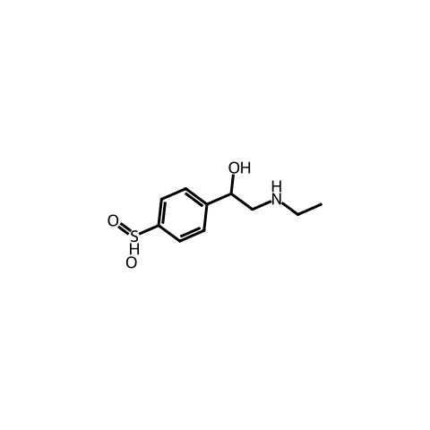 CCNCC(O)c1ccc([SH](=O)=O)cc1